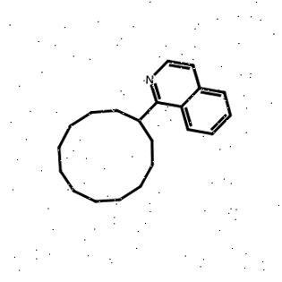 c1ccc2c(C3CCCCCCCCCCC3)nccc2c1